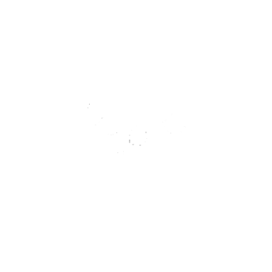 CC(=O)C(=O)CC(=O)c1cc(Cc2ccccc2)ccc1OC(C)C